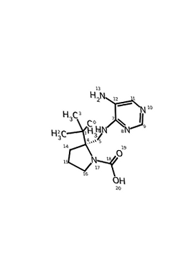 CC(C)(C)[C@]1(CNc2ncncc2N)CCCN1C(=O)O